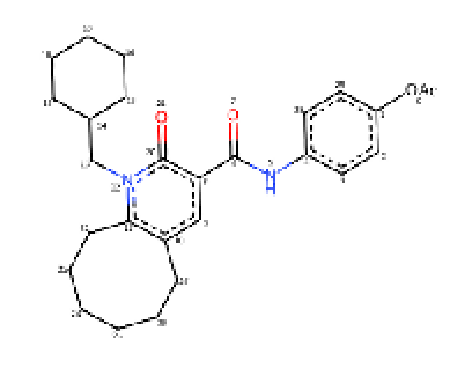 CC(=O)Oc1ccc(NC(=O)c2cc3c(n(CC4CCCCC4)c2=O)CCCCCC3)cc1